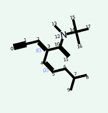 C#C/C=C(\C=C/CC(C)C)C(=C)N(C)C(C)(C)C